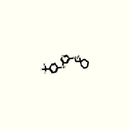 FC1(CNc2cncc(Nc3ccc(C(F)(F)F)cc3)c2)CCCCC1